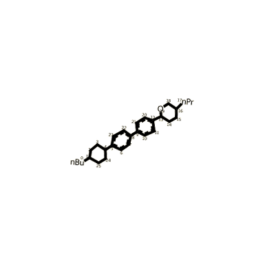 CCCCC1CCC(c2ccc(-c3ccc(C4CCC(CCC)CO4)cc3)cc2)CC1